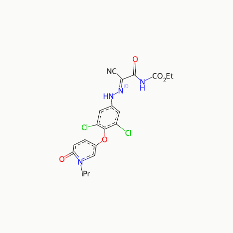 CCOC(=O)NC(=O)/C(C#N)=N/Nc1cc(Cl)c(Oc2ccc(=O)n(C(C)C)c2)c(Cl)c1